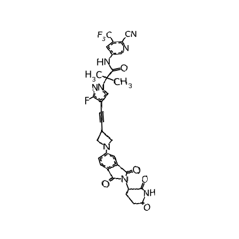 CC(C)(C(=O)Nc1cnc(C#N)c(C(F)(F)F)c1)n1cc(C#CC2CN(c3ccc4c(c3)C(=O)N(C3CCC(=O)NC3=O)C4=O)C2)c(F)n1